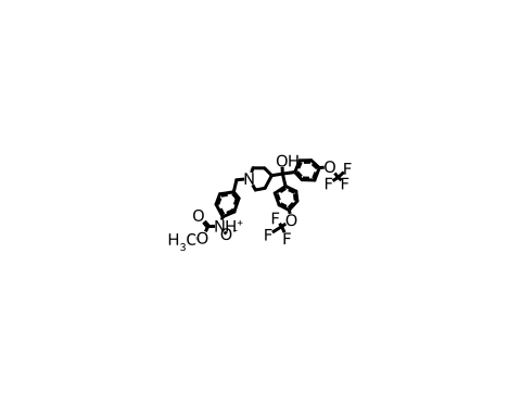 COC(=O)[NH+]([O-])c1ccc(CN2CCC(C(O)(c3ccc(OC(F)(F)F)cc3)c3ccc(OC(F)(F)F)cc3)CC2)cc1